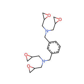 c1cc(CN(CC2CO2)CC2CO2)cc(CN(CC2CO2)CC2CO2)c1